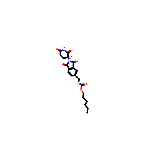 CCCCCCOC(=O)NCc1ccc2c(c1)C(=O)N([C@@]1(C)CCC(=O)NC1=O)C2=O